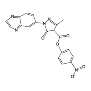 CC1=NN(c2ccc3nccnc3c2)C(=O)C1C(=O)Oc1ccc([N+](=O)[O-])cc1